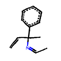 C=CC(C)(/N=C\C)c1ccccc1